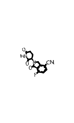 N#Cc1ccc(F)c2c1CN(C1CCC(=O)NC1=O)C2=O